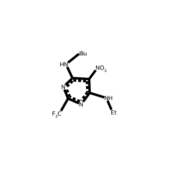 CCNc1nc(C(F)(F)F)nc(NC(C)CC)c1[N+](=O)[O-]